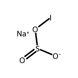 O=S([O-])OI.[Na+]